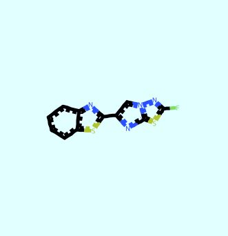 Fc1nn2cc(-c3nc4ccccc4s3)nc2s1